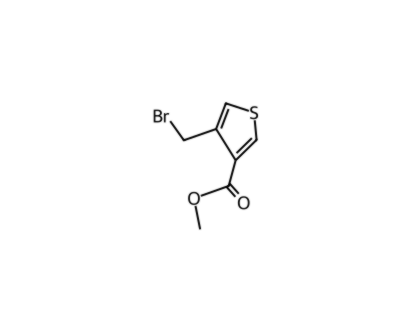 COC(=O)c1cscc1CBr